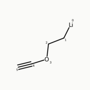 [Li][CH2]COC#C